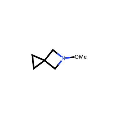 CON1CC2(CC2)C1